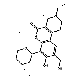 CN1CCc2c(c(=O)oc3c(C4OCCCO4)c(O)c(CO)cc23)C1